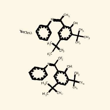 CC(=Nc1ccccc1)c1cc(C(C)(C)C)cc(C(C)(C)C)c1O.CC(=Nc1ccccc1)c1cc(C(C)(C)C)cc(C(C)(C)C)c1O.Cl.Cl.[Ti]